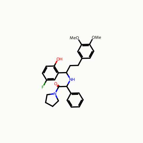 COc1ccc(CCC(NC(C(=O)N2CCCC2)c2ccccc2)c2cc(F)ccc2O)cc1OC